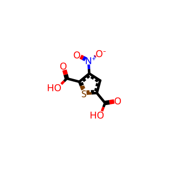 O=C(O)c1cc([N+](=O)[O-])c(C(=O)O)s1